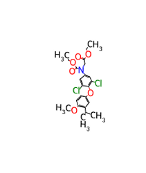 CCOC(=O)CN(C(=O)OCC)c1cc(Cl)c(Oc2ccc(OC)c(C(C)C)c2)c(Cl)c1